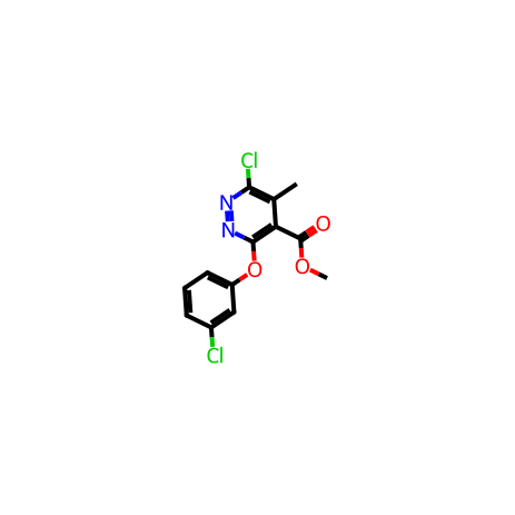 COC(=O)c1c(Oc2cccc(Cl)c2)nnc(Cl)c1C